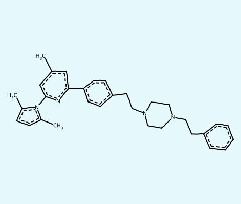 Cc1cc(-c2ccc(CCN3CCN(CCc4ccccc4)CC3)cc2)nc(-n2c(C)ccc2C)c1